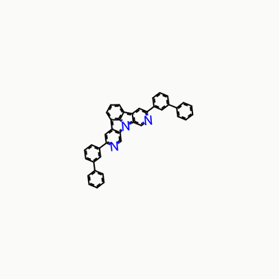 c1ccc(-c2cccc(-c3cc4c5cccc6c7cc(-c8cccc(-c9ccccc9)c8)ncc7n(c4cn3)c56)c2)cc1